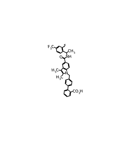 Cc1c(C)n(Cc2ccc(-c3ccccc3C(=O)O)cc2)c2ccc(C(=O)NC(C)c3ccc(C(F)(F)F)cc3F)cc12